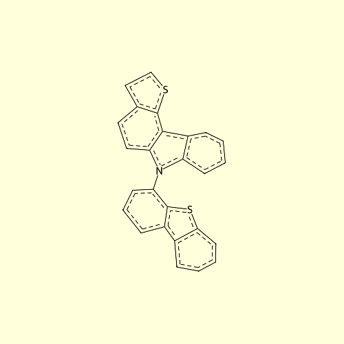 c1ccc2c(c1)sc1c(-n3c4ccccc4c4c5sccc5ccc43)cccc12